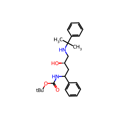 CC(C)(C)OC(=O)NC(C[C@@H](O)CNC(C)(C)c1ccccc1)c1ccccc1